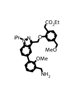 CCOC(=O)Cc1ccc(COC)cc1OCc1nn(C(C)C)c2ccc(-c3cccc(CN)c3OC)cc12